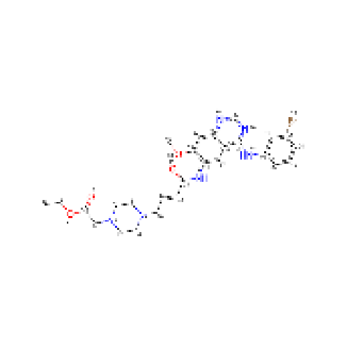 CCOC(=O)CN1CCN(CC=CC(=O)Nc2cc3c(Nc4cccc(Br)c4)ncnc3cc2OC)CC1